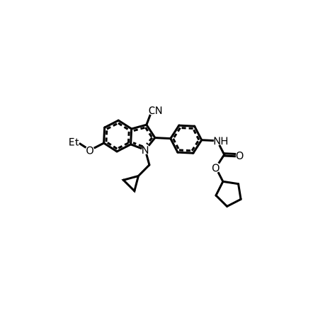 CCOc1ccc2c(C#N)c(-c3ccc(NC(=O)OC4CCCC4)cc3)n(CC3CC3)c2c1